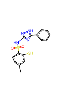 Cc1ccc(S(=O)(=O)Nc2n[nH]c(-c3ccccc3)n2)c(S)c1